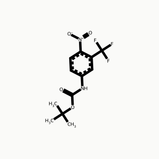 CC(C)(C)OC(=O)Nc1ccc([N+](=O)[O-])c(C(F)(F)F)c1